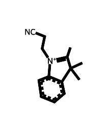 CC1=[N+](CCC#N)c2ccccc2C1(C)C